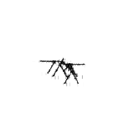 CCCCCCCCCCCCN(CCCCCCCCCCCC)COCCOc1c(CCC)cc(C(C)(C)c2cc(CCC)c(OCCOCN(CCCCCCCCCCCC)CCCCCCCCCCCC)c(CN(CCCCCCCCCCCC)CCCCCCCCCCCC)c2)cc1CN(CCCCCCCCCCCC)CCCCCCCCCCCC